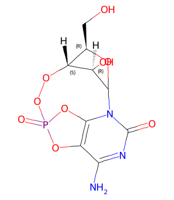 Nc1nc(=O)n2c3c1OP(=O)(OO[C@@H]1[C@@H](CO)OC2[C@@H]1O)O3